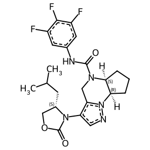 CC(C)C[C@H]1COC(=O)N1c1cnn2c1CN(C(=O)Nc1cc(F)c(F)c(F)c1)[C@H]1CCC[C@H]12